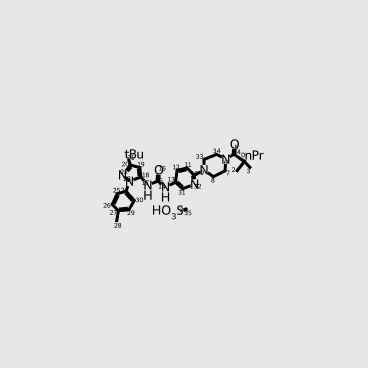 CCCC(C)(C)C(=O)N1CCN(c2ccc(NC(=O)Nc3cc(C(C)(C)C)nn3-c3ccc(C)cc3)cn2)CC1.CS(=O)(=O)O